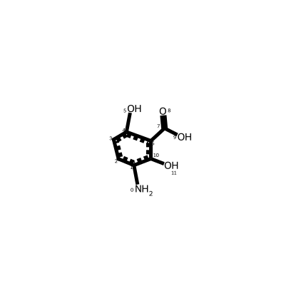 Nc1ccc(O)c(C(=O)O)c1O